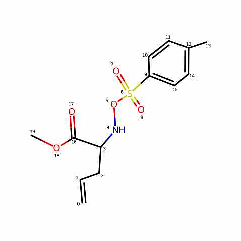 C=CCC(NOS(=O)(=O)c1ccc(C)cc1)C(=O)OC